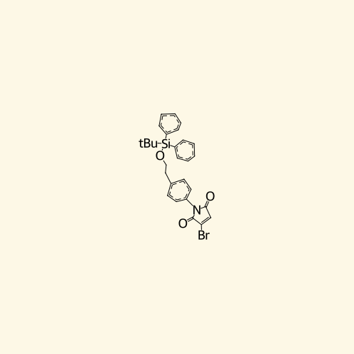 CC(C)(C)[Si](OCCc1ccc(N2C(=O)C=C(Br)C2=O)cc1)(c1ccccc1)c1ccccc1